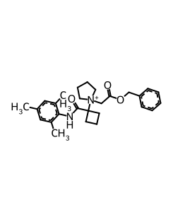 Cc1cc(C)c(NC(=O)C2([N+]3(CC(=O)OCc4ccccc4)CCCC3)CCC2)c(C)c1